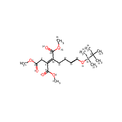 COC(=O)CC(C(=O)OC)=C(CCCCO[Si](C)(C)C(C)(C)C)C(=O)OC